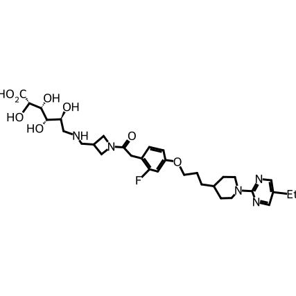 CCc1cnc(N2CCC(CCCOc3ccc(CC(=O)N4CC(CNC[C@H](O)[C@H](O)[C@@H](O)[C@H](O)C(=O)O)C4)c(F)c3)CC2)nc1